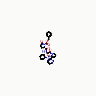 C[C@H](NC(=O)[C@@H]1CCC(=O)N1C(=O)OCc1ccccc1)C(=O)N1CCC[C@]1(C(=O)Nc1ccccc1)c1ccccn1